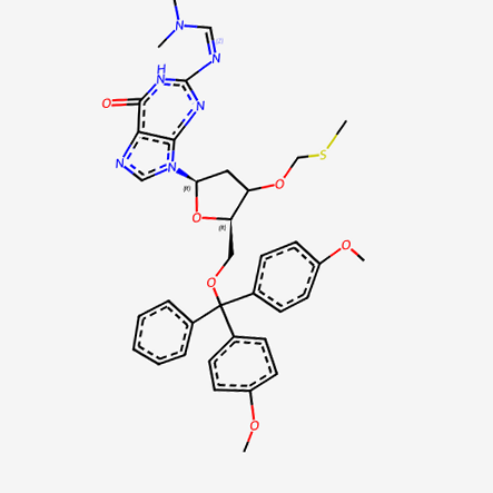 COc1ccc(C(OC[C@H]2O[C@@H](n3cnc4c(=O)[nH]c(/N=C\N(C)C)nc43)CC2OCSC)(c2ccccc2)c2ccc(OC)cc2)cc1